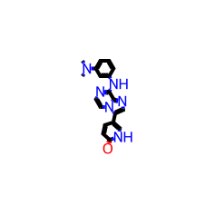 CN(C)c1cccc(Nc2nccn3c(-c4ccc(=O)[nH]c4)cnc23)c1